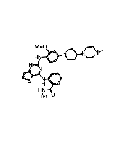 COc1cc(N2CCC(N3CCN(C)CC3)CC2)ccc1Nc1nc(Nc2ccccc2C(=O)NC(C)C)c2sccc2n1